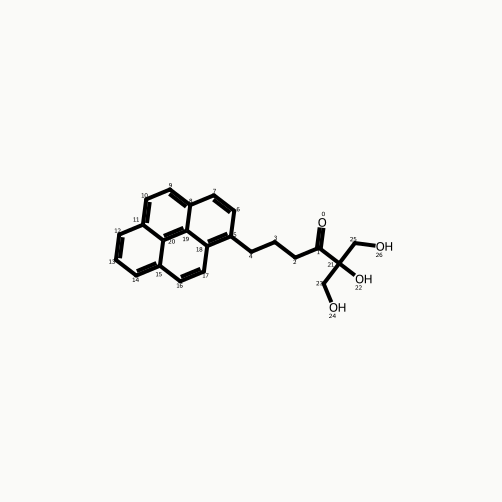 O=C(CCCc1ccc2ccc3cccc4ccc1c2c34)C(O)(CO)CO